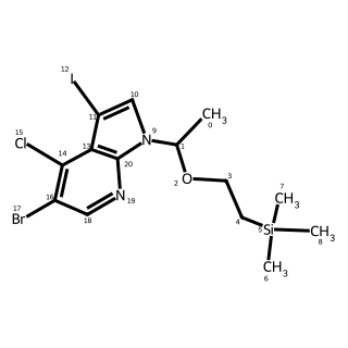 CC(OCC[Si](C)(C)C)n1cc(I)c2c(Cl)c(Br)cnc21